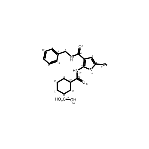 CC(C)c1cc(C(=O)NCc2ccccc2)c(NC(=O)C2CCCCC2)s1.O=C(O)O